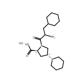 Cl.NC(CC1CCCCC1)C(=O)N1C[C@H](N2CCCCC2)C[C@H]1C(=O)O